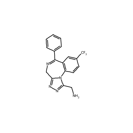 NCc1nnc2n1-c1ccc(C(F)(F)F)cc1C(c1ccccc1)=NC2